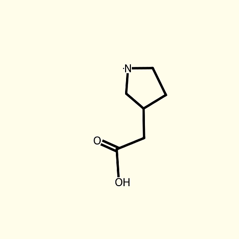 O=C(O)CC1CC[N]C1